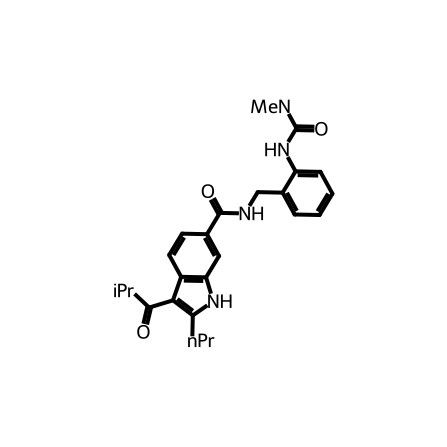 CCCc1[nH]c2cc(C(=O)NCc3ccccc3NC(=O)NC)ccc2c1C(=O)C(C)C